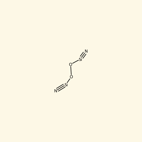 N#[Si]OO[Si]#N